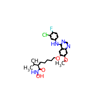 COc1cc2ncnc(Nc3ccc(F)c(Cl)c3)c2cc1OCCCCCC(C(=O)NO)C(C)C